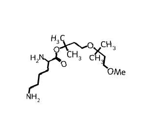 COCCC(C)(C)OCCC(C)(C)OC(=O)C(N)CCCCN